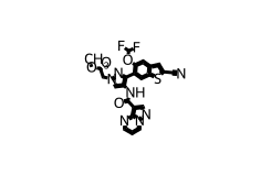 COC(=O)Cn1cc(NC(=O)c2cnn3cccnc23)c(-c2cc3sc(C#N)cc3cc2OC(F)F)n1